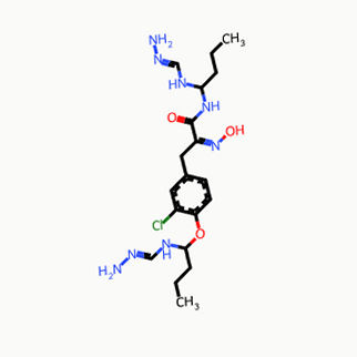 CCCC(NC=NN)NC(=O)C(Cc1ccc(OC(CCC)NC=NN)c(Cl)c1)=NO